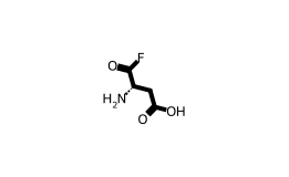 N[C@@H](CC(=O)O)C(=O)F